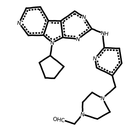 O=CCN1CCN(Cc2ccc(Nc3ncc4c5ccncc5n(C5CCCC5)c4n3)nc2)CC1